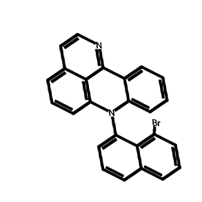 Brc1cccc2cccc(N3c4ccccc4-c4nccc5cccc3c45)c12